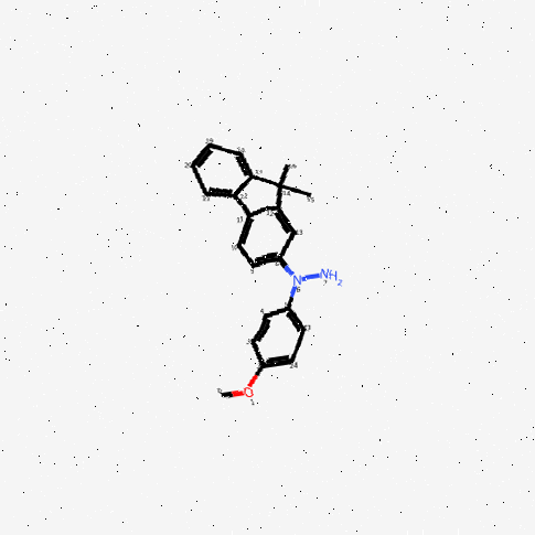 COc1ccc(N(N)c2ccc3c(c2)C(C)(C)c2ccccc2-3)cc1